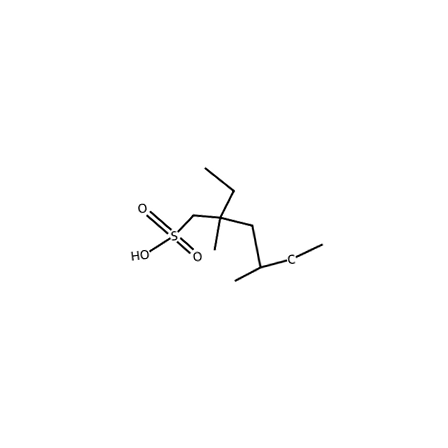 CCC(C)CC(C)(CC)CS(=O)(=O)O